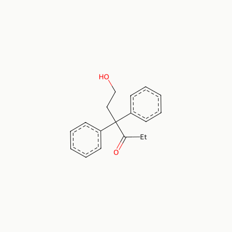 CCC(=O)C(CCO)(c1ccccc1)c1ccccc1